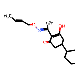 CC=CCON=C(CCC)C1=C(O)CC(C2CCCSC2)CC1=O